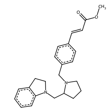 COC(=O)/C=C/c1ccc(CN2CCCC2CN2CCc3ccccc32)cc1